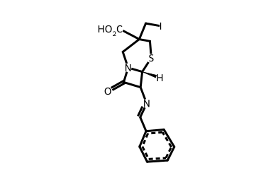 O=C1C(N=Cc2ccccc2)[C@H]2SCC(CI)(C(=O)O)CN12